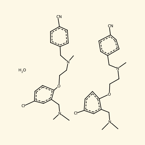 CN(C)Cc1cc(Cl)ccc1OCCN(C)Cc1ccc(C#N)cc1.CN(C)Cc1cc(Cl)ccc1OCCN(C)Cc1ccc(C#N)cc1.O